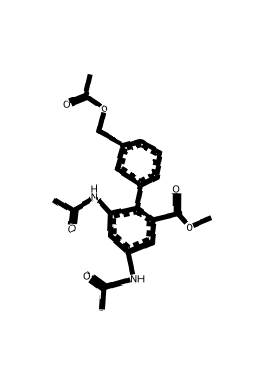 COC(=O)c1cc(NC(C)=O)cc(NC(C)=O)c1-c1cccc(COC(C)=O)c1